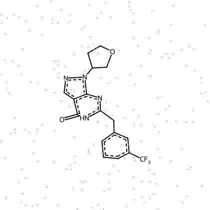 O=c1[nH]c(Cc2cccc(C(F)(F)F)c2)nc2c1cnn2C1CCOC1